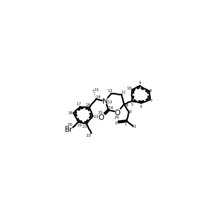 C=C(C)CC1(c2ccccc2)CCN([C@@H](C)c2ccc(Br)c(C)c2)C(=O)O1